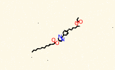 CCCCCCCCC=CCC(=O)Oc1cnc(-c2ccc(CCCCC(C)OC(=O)CC)cc2)nc1